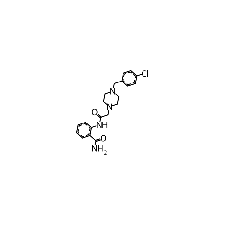 NC(=O)c1ccccc1NC(=O)CN1CCN(Cc2ccc(Cl)cc2)CC1